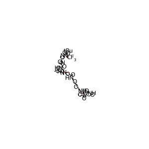 CC(C)(C)OC(=O)N(CC(F)(F)F)c1cc(-c2nc(C(=O)Nc3cn(-c4ccc(C(=O)NCCOCCOCCNc5cccc6c5C(=O)N(C5CCC(=O)NC5=O)C6=O)cc4)nc3N3CCC(C)(C)C3=O)co2)ccn1